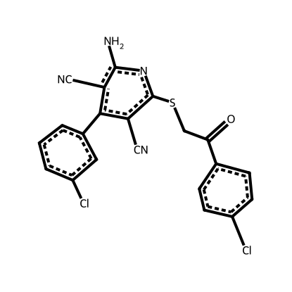 N#Cc1c(N)nc(SCC(=O)c2ccc(Cl)cc2)c(C#N)c1-c1cccc(Cl)c1